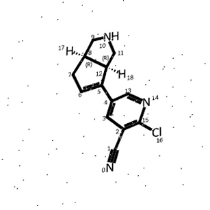 N#Cc1cc(C2=CC[C@H]3CNC[C@@H]23)cnc1Cl